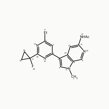 CCc1cc(-c2cn(C)c3cnc(NC(C)=O)cc23)nc(C2(F)CC2)n1